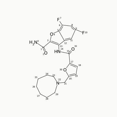 NC(=O)c1oc2c(F)cc(F)cc2c1NC(=O)c1ccc(CN2CCCCCCC2)o1